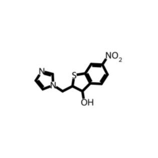 O=[N+]([O-])c1ccc2c(c1)SC(Cn1ccnc1)C2O